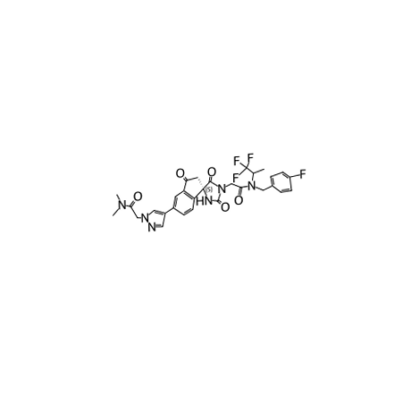 CC(N(Cc1ccc(F)cc1)C(=O)CN1C(=O)N[C@]2(CC(=O)c3cc(-c4cnn(CC(=O)N(C)C)c4)ccc32)C1=O)C(F)(F)F